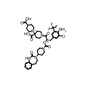 Nc1c(Cl)cc(C[C@@H](OC(=O)N2CCC(N3CCc4ccccc4NC3=O)CC2)C(=O)N2CCC(C(=O)O)([N+]3CCC(C(=O)O)CC3)CC2)cc1C(F)(F)F